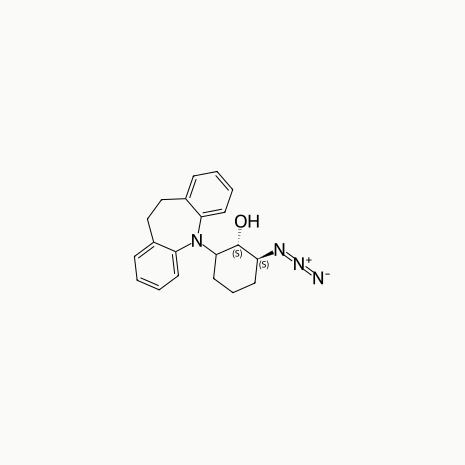 [N-]=[N+]=N[C@H]1CCCC(N2c3ccccc3CCc3ccccc32)[C@@H]1O